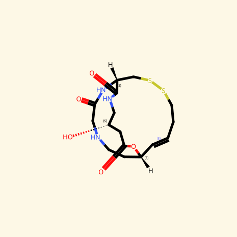 O=C1CNCC[C@H]2/C=C/CCSSC[C@@H](N1)C(=O)NC[C@@H](O)CC(=O)O2